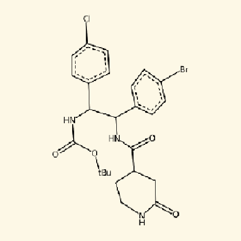 CC(C)(C)OC(=O)NC(c1ccc(Cl)cc1)C(NC(=O)C1CCNC(=O)C1)c1ccc(Br)cc1